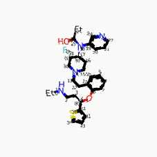 CCNCC[C@@H](Oc1ccccc1CCN1CC[C@@H](N(c2cccnc2)C(O)CC)[C@@H](F)C1)c1cccs1